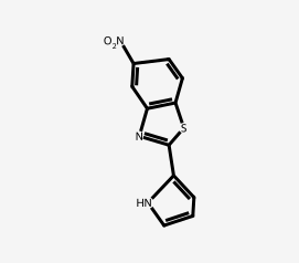 O=[N+]([O-])c1ccc2sc(-c3ccc[nH]3)nc2c1